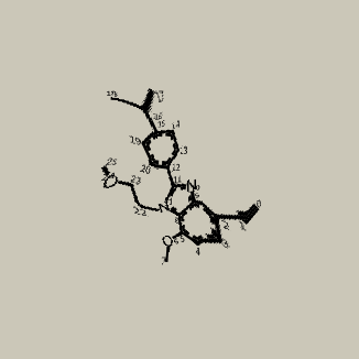 C#Cc1ccc(OC)c2c1nc(-c1ccc(C(C)C)cc1)n2CCOC